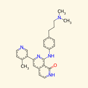 Cc1ccncc1-c1cc2cc[nH]c(=O)c2c(Nc2ccc(CCCN(C)C)cc2)n1